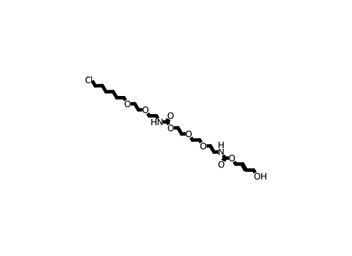 O=C(NCCOCCOCCOC(=O)NCCOCCOCCCCCCCl)OC/C=C/CO